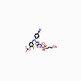 COCCCS(=O)(=O)NC(=O)c1nc(N(Cc2ccc(OC(F)F)c(F)c2)c2ccc(C#N)cc2)sc1C